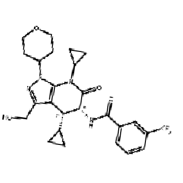 O=C(N[C@H]1C(=O)N(C2CC2)c2c(c(CO)nn2C2CCOCC2)[C@H]1C1CC1)c1cccc(C(F)(F)F)c1